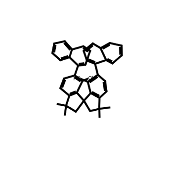 CC1(C)CC2(CC(C)(C)c3ccc(-c4cccc5ccccc45)c(O)c32)c2c1ccc(-c1cccc3ccccc13)c2O